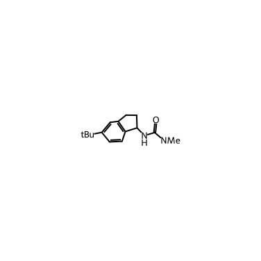 CNC(=O)NC1CCc2cc(C(C)(C)C)ccc21